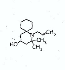 C=CCN1C(C)(C)CC(O)CC12CCCCC2